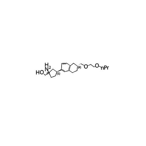 CCCOCCOC[C@@H]1CCc2cc([C@H]3CC[C@](N)(CO)C3)ccc2C1